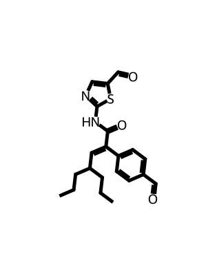 CCCC(/C=C(/C(=O)Nc1ncc(C=O)s1)c1ccc(C=O)cc1)CCC